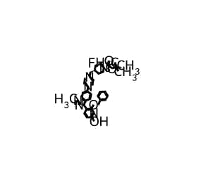 Cn1nc(-c2ccc(O)nc2OCc2ccccc2)c2ccc(N3CCN(C[C@@H]4CCN(C(=O)OC(C)(C)C)C[C@H]4F)CC3)cc21